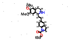 CCCCOc1cc2c(cc1OC)C(/C=C/c1ccc3c(ccn3C(=O)OC(C)(C)C)c1)NCC2